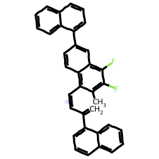 C=C(/C=C\c1c(C)c(F)c(F)c2cc(-c3cccc4ccccc34)ccc12)c1cccc2ccccc12